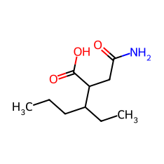 CCCC(CC)C(CC(N)=O)C(=O)O